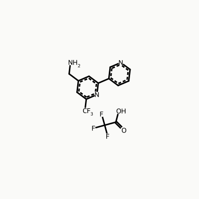 NCc1cc(-c2cccnc2)nc(C(F)(F)F)c1.O=C(O)C(F)(F)F